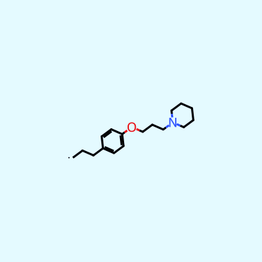 [CH2]CCc1ccc(OCCCN2CCCCC2)cc1